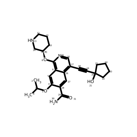 CC(C)Oc1cc2c(O[C@@H]3CCCNC3)ncc(C#CC3(O)CCCC3)c2cc1C(N)=O